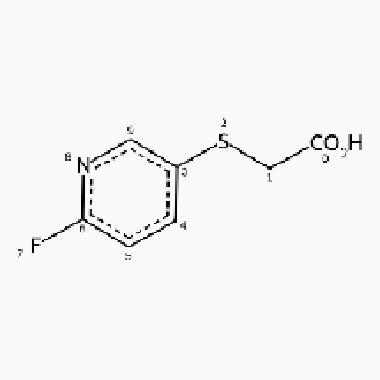 O=C(O)CSc1ccc(F)nc1